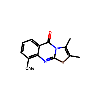 COc1cccc2c(=O)n3c(C)c(C)sc3nc12